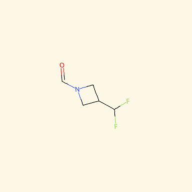 O=CN1CC(C(F)F)C1